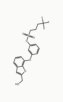 O=S(=O)(CCCC(F)(F)F)Oc1cccc(Oc2cccc3cc(CO)oc23)c1